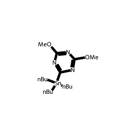 CCC[CH2][Sn]([CH2]CCC)([CH2]CCC)[c]1nc(OC)nc(OC)n1